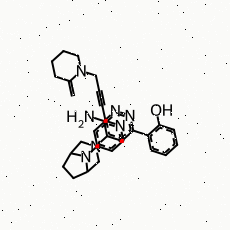 C=C1CCCCN1CC#Cc1cc(N2C3CCC2CN(c2cc(-c4ccccc4O)nnc2N)C3)ccn1